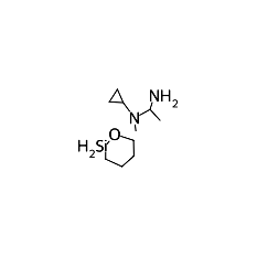 C1CC[SiH2]OC1.CC(N)N(C)C1CC1